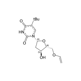 C=COC[C@H]1O[C@@H](n2cc(C(C)(C)C)c(=O)[nH]c2=O)C[C@@H]1O